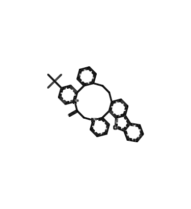 C=C1C[n+]2ccccc2-c2c(ccc3c2oc2ccccc23)CCc2ccccc2-c2cc(C(C)(C)C)cc[n+]21